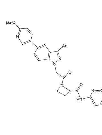 COc1ccc(-c2ccc3c(c2)c(C(C)=O)nn3CC(=O)N2CCC2C(=O)Nc2cccc(C)n2)cn1